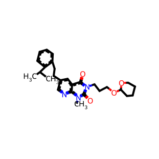 CC(C)c1ccccc1CCc1cnc2c(c1)c(=O)n(CCCOC1CCCCO1)c(=O)n2C